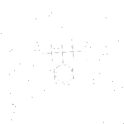 CC(C)([SiH](Cl)Cl)C(C)(c1ccccc1)C(C)(C)[SiH](Cl)Cl